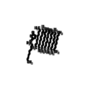 CCCCCCCCCC.CCCCCCCCCC.CCCCCCCCCC.CCCCCCCCCC.CCCCCCCCCC.CCCCCCCCCC.CCCCCCCCCC.CCCCCCCCCC.O=C1C=CC(=O)O1